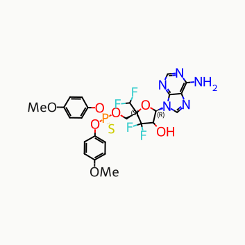 COc1ccc(OP(=S)(OC[C@@]2(C(F)F)O[C@@H](n3cnc4c(N)ncnc43)C(O)C2(F)F)Oc2ccc(OC)cc2)cc1